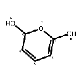 OC1=CC=CC(O)O1